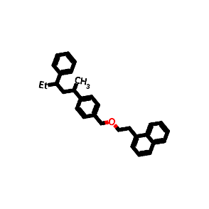 CCC(CC(C)c1ccc(COCCc2cccc3ccccc23)cc1)c1ccccc1